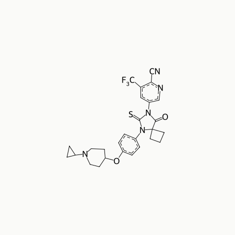 N#Cc1ncc(N2C(=O)C3(CCC3)N(c3ccc(OC4CCN(C5CC5)CC4)cc3)C2=S)cc1C(F)(F)F